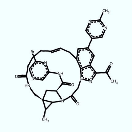 CC(=O)c1nn2c3c(cc(-c4cnc(C)nc4)cc13)C/C=C/CCCC(=O)NC[C@@]13C[C@@H](C(=O)Nc4cncc(Br)n4)N(C(=O)C2)C1C3C